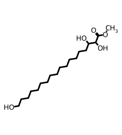 COC(=O)C(O)C(O)CCCCCCCCCCCCCCCO